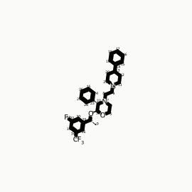 C[C@@H](O[C@H]1OCCN(CCN2CCC(c3ccccc3)CC2)[C@H]1c1ccccc1)c1cc(F)cc(C(F)(F)F)c1